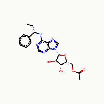 CC[C@H](Nc1ncnc2c1ncn2[C@@H]1O[C@H](COC(C)=O)[C@H](O)C1O)c1ccccc1